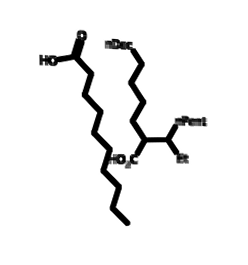 CCCCCCCCCC(=O)O.CCCCCCCCCCCCCCC(C(=O)O)C(CC)CCCCC